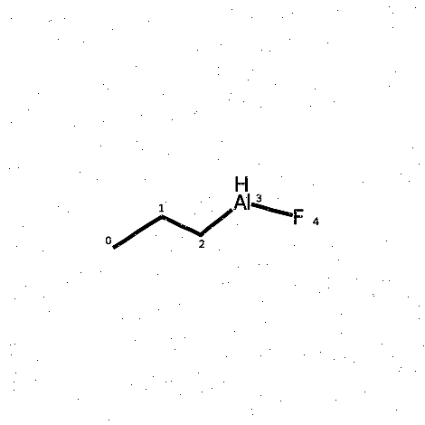 CC[CH2][AlH][F]